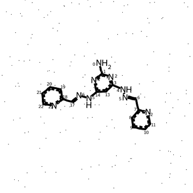 Nc1nc(NN=Cc2ccccn2)cc(NN=Cc2ccccn2)n1